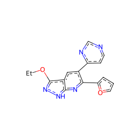 CCOc1n[nH]c2nc(-c3ccco3)c(-c3ccncn3)cc12